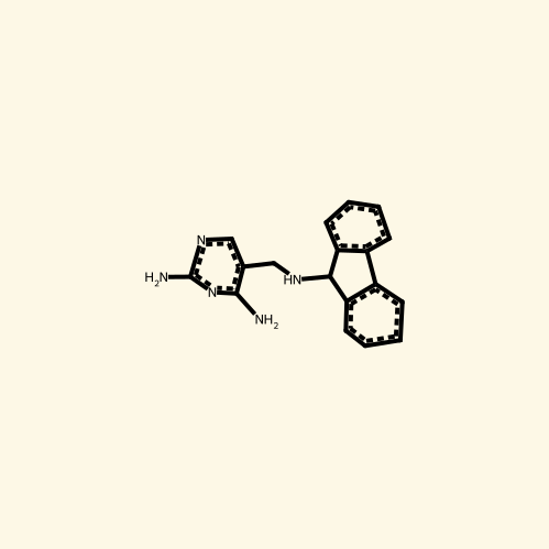 Nc1ncc(CNC2c3ccccc3-c3ccccc32)c(N)n1